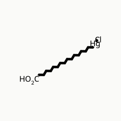 O=C(O)CCCCCCCCCCCCCCC[CH2][Hg][Cl]